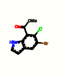 COC(=O)c1c(Cl)c(Br)cc2cc[nH]c12